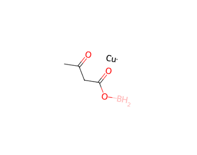 BOC(=O)CC(C)=O.[Cu]